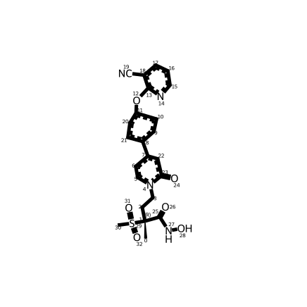 C[C@@](CCn1ccc(-c2ccc(Oc3ncccc3C#N)cc2)cc1=O)(C(=O)NO)S(C)(=O)=O